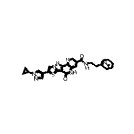 O=C(NCCN1CC2CCC1CC2)c1cnc2c(c1)[nH]c(=O)c1c2nn2cc(-c3cnn(C4CC4)c3)sc12